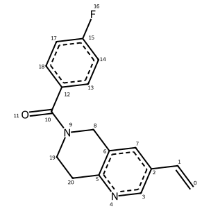 C=Cc1cnc2c(c1)CN(C(=O)c1ccc(F)cc1)CC2